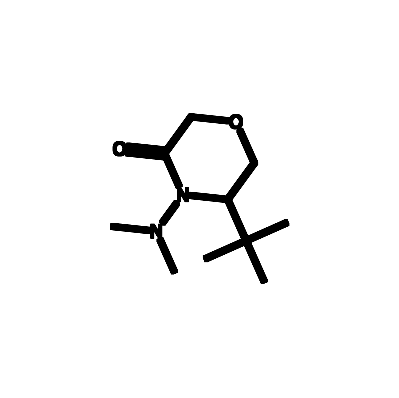 CN(C)N1C(=O)COCC1C(C)(C)C